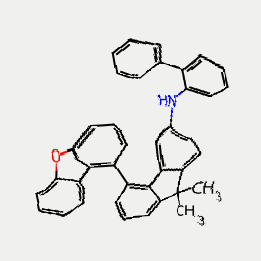 CC1(C)c2ccc(Nc3ccccc3-c3ccccc3)cc2-c2c(-c3cccc4oc5ccccc5c34)cccc21